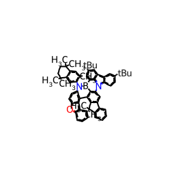 Cc1cc2c(cc1N1B3c4c(cc5c(c4-c4c1ccc1oc6ccccc6c41)C(C)(C)c1ccccc1-5)-n1c4ccc(C(C)(C)C)cc4c4cc(C(C)(C)C)cc3c41)C(C)(C)CCC2(C)C